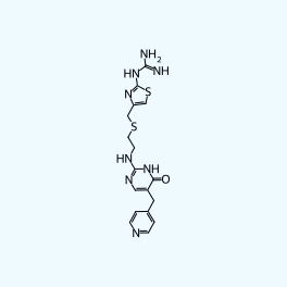 N=C(N)Nc1nc(CSCCNc2ncc(Cc3ccncc3)c(=O)[nH]2)cs1